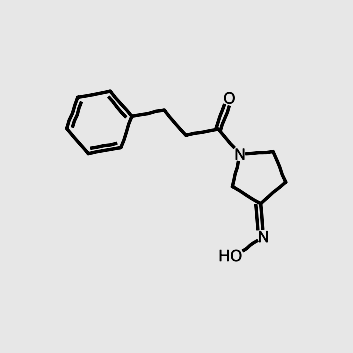 O=C(CCc1ccccc1)N1CCC(=NO)C1